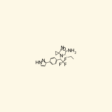 CCC[C@@H](C(N)=O)N([C@@H](c1ccc(-c2cc[nH]n2)cc1)C(F)(F)F)C1(C#N)CC1